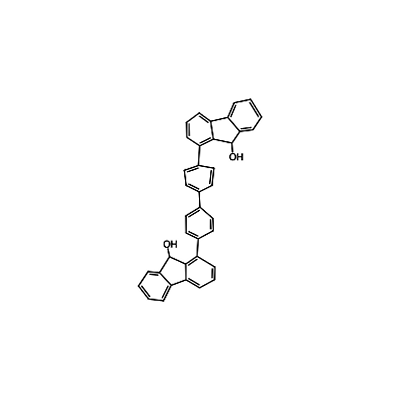 OC1c2ccccc2-c2cccc(-c3ccc(-c4ccc(-c5cccc6c5C(O)c5ccccc5-6)cc4)cc3)c21